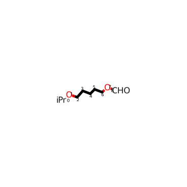 CC(C)OCCCCCOC=O